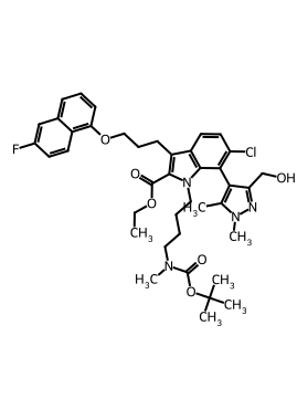 CCOC(=O)c1c(CCCOc2cccc3cc(F)ccc23)c2ccc(Cl)c(-c3c(CO)nn(C)c3C)c2n1CCCCN(C)C(=O)OC(C)(C)C